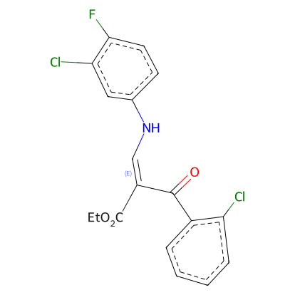 CCOC(=O)/C(=C/Nc1ccc(F)c(Cl)c1)C(=O)c1ccccc1Cl